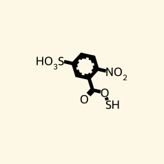 O=C(OS)c1cc(S(=O)(=O)O)ccc1[N+](=O)[O-]